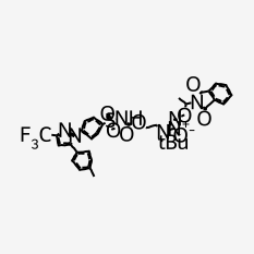 Cc1ccc(-c2cc(C(F)(F)F)nn2-c2ccc(S(=O)(=O)NC(=O)OCCN([N+]([O-])=NOC(C)N3C(=O)c4ccccc4C3=O)C(C)(C)C)cc2)cc1